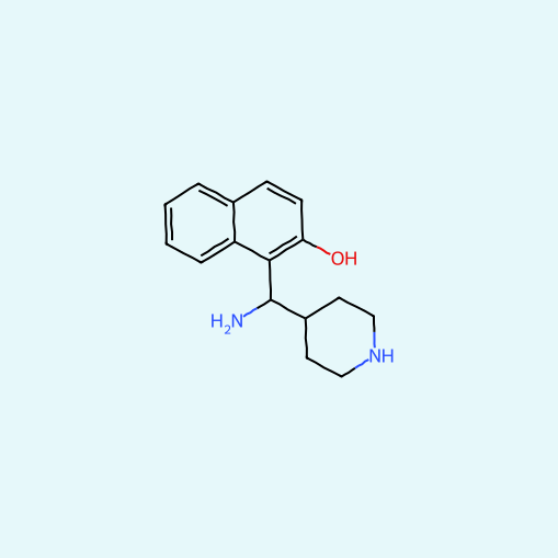 NC(c1c(O)ccc2ccccc12)C1CCNCC1